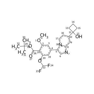 COc1cc(-c2cnc3cc(C4(O)CCC4)ccn23)cc(OC(F)F)c1C(=O)OC(C)(C)C